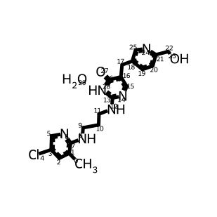 Cc1cc(Cl)cnc1NCCCNc1ncc(Cc2ccc(CO)nc2)c(=O)[nH]1.O